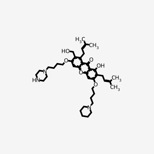 CC(C)=CCc1c(OCCCCN2CCCCC2)cc2oc3cc(OCCCCN4CCNCC4)c(CO)c(CC=C(C)C)c3c(=O)c2c1O